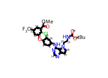 COC(=O)c1cc(Oc2ccc(Nc3ncnc4ccn(CCNC(=O)OC(C)(C)C)c34)cc2Cl)cc(C(F)(F)F)c1